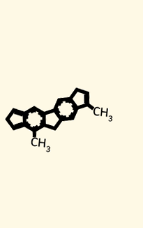 CC1=CCc2cc3c(cc21)Cc1c-3cc2c(c1C)=CCC=2